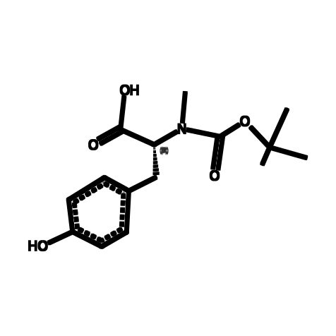 CN(C(=O)OC(C)(C)C)[C@H](Cc1ccc(O)cc1)C(=O)O